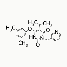 Cc1cc(C)cc(Oc2[nH]c(=O)n(Cc3cccnc3)c(=O)c2C(C)C)c1